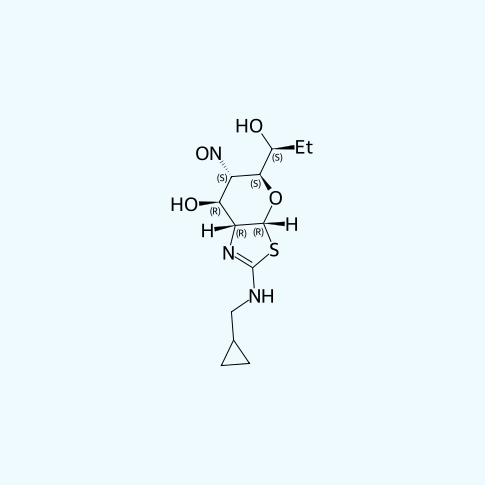 CC[C@H](O)[C@H]1O[C@@H]2SC(NCC3CC3)=N[C@@H]2[C@@H](O)[C@@H]1N=O